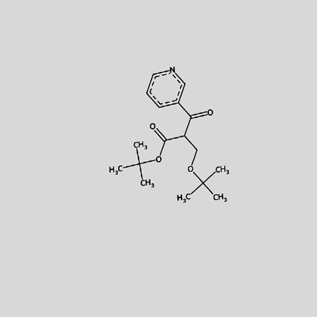 CC(C)(C)OCC(C(=O)OC(C)(C)C)C(=O)c1cccnc1